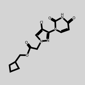 O=C(Cn1cc(Cl)c(-n2ccc(=O)[nH]c2=O)n1)OCC1CCC1